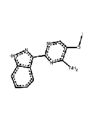 Nc1nc(-c2n[nH]c3ccccc23)ncc1OI